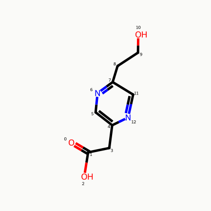 O=C(O)Cc1cnc(CCO)cn1